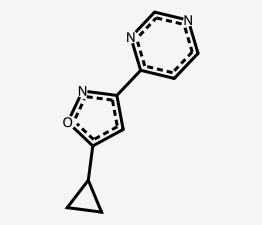 c1cc(-c2cc(C3CC3)on2)ncn1